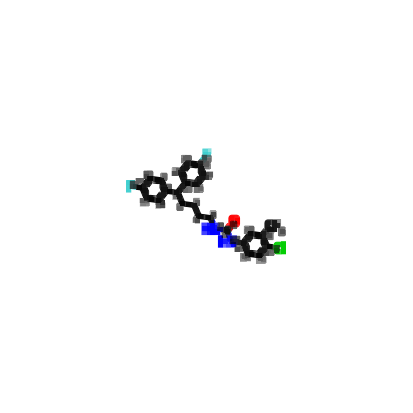 O=C(NCCCCC(c1ccc(F)cc1)c1ccc(F)cc1)Nc1ccc(Cl)c(C(F)(F)F)c1